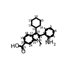 Cn1c(-c2ccccc2N)c(C2CCCCC2)c2ccc(C(=O)O)cc21